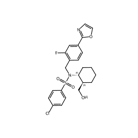 O=S(=O)(c1ccc(Cl)cc1)N(Cc1ccc(-c2ncco2)cc1F)[C@@H]1CCCC[C@H]1CO